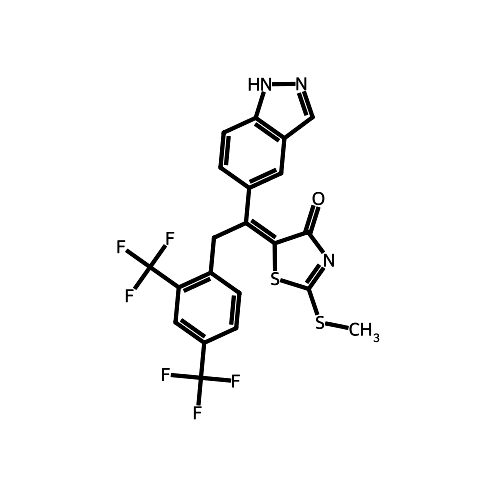 CSC1=NC(=O)C(=C(Cc2ccc(C(F)(F)F)cc2C(F)(F)F)c2ccc3[nH]ncc3c2)S1